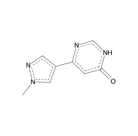 Cn1cc(-c2cc(=O)[nH]cn2)cn1